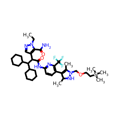 CCn1ncc(C(C(=O)Nc2ccc(C3=C(C)N(COCC[Si](C)(C)C)NC3C)c(C(F)(F)F)n2)C(C2CCCCC2)C2CCCCC2)c1C(N)=O